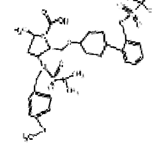 COc1ccc(CN([C@H]2C[C@@H](C)N(C(=O)O)[C@H]2COC2CCC(c3ccccc3OS(=O)(=O)C(F)(F)F)CC2)S(=O)(=O)N(C)C)cc1